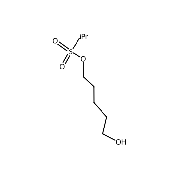 CC(C)S(=O)(=O)OCCCCCO